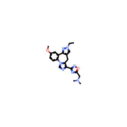 CCn1cc2c(n1)-c1cc(OC)ccc1-n1cnc(-c3noc(CN(C)C)n3)c1C2